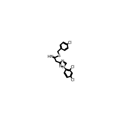 N=C(Cc1ncn(-c2ccc(Cl)cc2Cl)n1)SCc1ccc(Cl)cc1